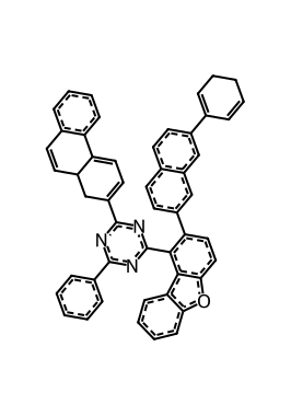 C1=CC(c2ccc3ccc(-c4ccc5oc6ccccc6c5c4-c4nc(C5=CC=C6c7ccccc7C=CC6C5)nc(-c5ccccc5)n4)cc3c2)=CCC1